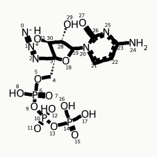 [N-]=[N+]=N[C@]1(COP(=O)(O)OP(=O)(O)OP(=O)(O)O)OC(n2ccc(N)nc2=O)[C@@H](O)[C@@H]1O